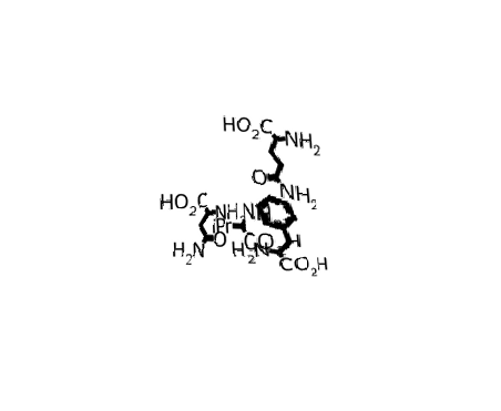 CC(C)C(N)C(=O)O.NC(=O)CC(N)C(=O)O.NC(=O)CCC(N)C(=O)O.NC(Cc1ccccc1)C(=O)O